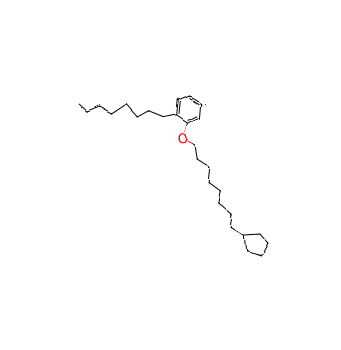 CCCCCCCCc1cc[c]cc1OCCCCCCCCC1CCCC1